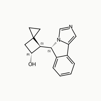 O[C@@H]1CC2(CC2)[C@H]1[C@H]1c2ccccc2-c2cncn21